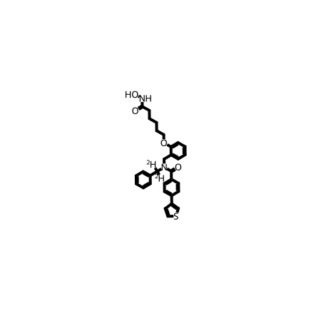 [2H]C([2H])(c1ccccc1)N(Cc1ccccc1OCCCCCC(=O)NO)C(=O)c1ccc(-c2ccsc2)cc1